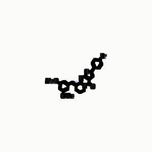 COc1cc(/C=C2\CCCn3c2nc2oc(-c4ccc(Br)cc4)cc2c3=O)cc(OC)c1